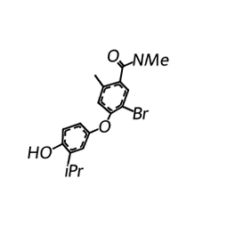 CNC(=O)c1cc(Br)c(Oc2ccc(O)c(C(C)C)c2)cc1C